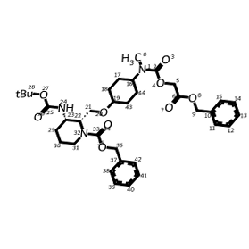 CN(C(=O)OCC(=O)OCc1ccccc1)C1CCC(OC[C@H]2[C@@H](NC(=O)OC(C)(C)C)CCCN2C(=O)OCc2ccccc2)CC1